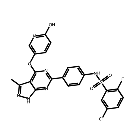 Cc1n[nH]c2nc(-c3ccc(NS(=O)(=O)c4cc(Cl)ccc4F)cc3)nc(Oc3ccc(O)nc3)c12